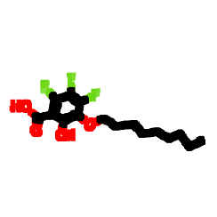 CCCCCCCCCOc1c(O)c(C(=O)O)c(F)c(F)c1F